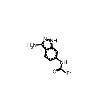 CC(C)C(=O)Nc1ccc2c(N)n[nH]c2c1